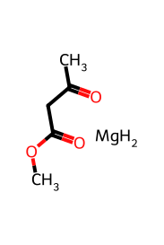 COC(=O)CC(C)=O.[MgH2]